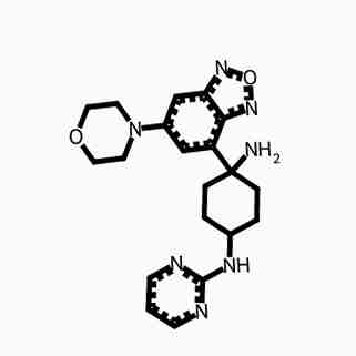 NC1(c2cc(N3CCOCC3)cc3nonc23)CCC(Nc2ncccn2)CC1